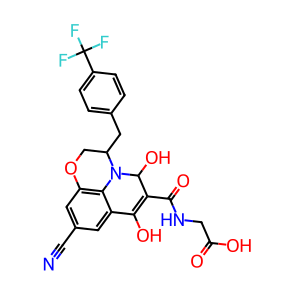 N#Cc1cc2c3c(c1)C(O)=C(C(=O)NCC(=O)O)C(O)N3C(Cc1ccc(C(F)(F)F)cc1)CO2